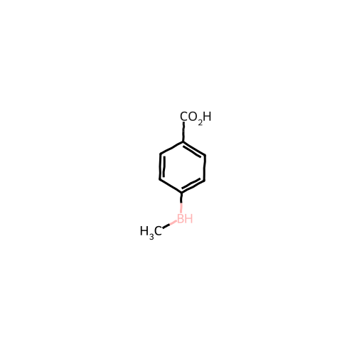 CBc1ccc(C(=O)O)cc1